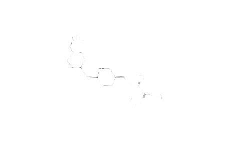 C=C(C)C(=O)OCC1CCC(CC2CCC(CC)CC2)CC1